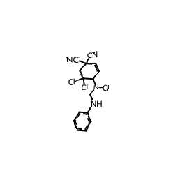 N#CC1(C#N)C=CC(N(Cl)CNc2ccccc2)C(Cl)(Cl)C1